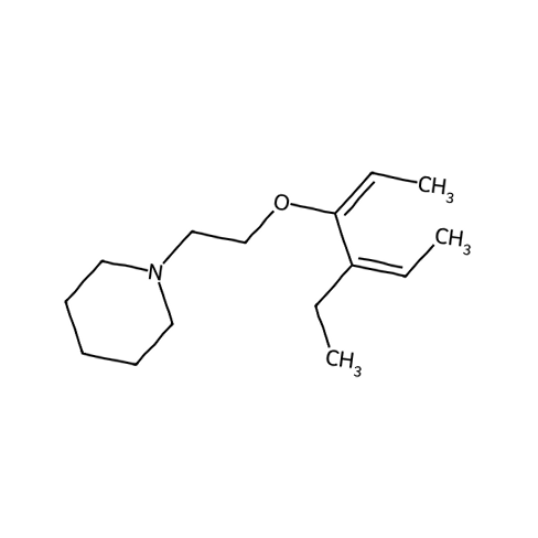 C/C=C(CC)\C(=C/C)OCCN1CCCCC1